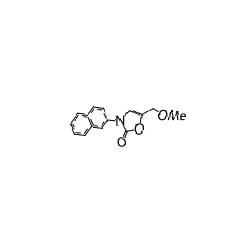 COCC1CN(c2ccc3ccccc3c2)C(=O)O1